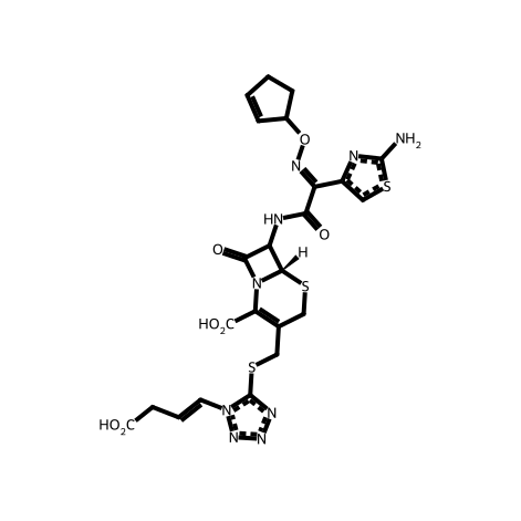 Nc1nc(C(=NOC2C=CCC2)C(=O)NC2C(=O)N3C(C(=O)O)=C(CSc4nnnn4C=CCC(=O)O)CS[C@@H]23)cs1